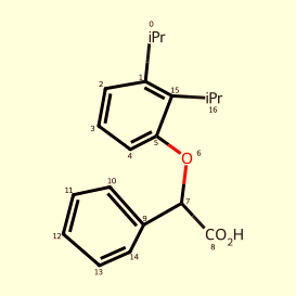 CC(C)c1cccc(OC(C(=O)O)c2ccccc2)c1C(C)C